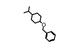 CC(C)C1CCC(OCc2ccccc2)CC1